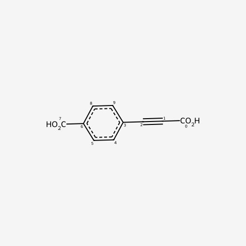 O=C(O)C#Cc1ccc(C(=O)O)cc1